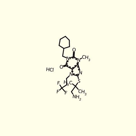 Cl.Cn1c(=O)n(CC2CCCCC2)c(=O)c2c1nc(SC(C)(C)CN)n2CCC(F)(F)F